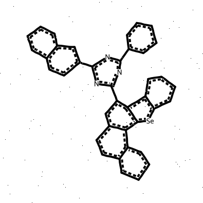 c1ccc(-c2nc(-c3ccc4ccccc4c3)nc(-c3cc4ccc5ccccc5c4c4[se]c5ccccc5c34)n2)cc1